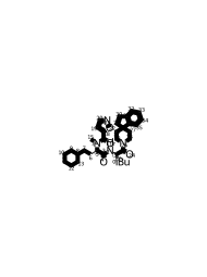 CC[C@H](C)[C@H](NC(=O)[C@H](CCC1CCCCC1)N(C)C(=O)c1ccno1)C(=O)N1CCC2(C=Cc3ccccc32)CC1